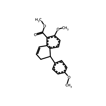 COC(=O)c1c(OC)ccc2c1C=CCC2c1ccc(OC)cc1